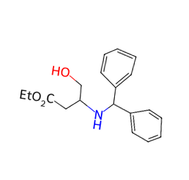 CCOC(=O)CC(CO)NC(c1ccccc1)c1ccccc1